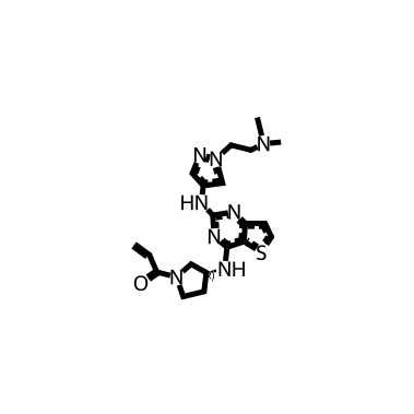 C=CC(=O)N1CC[C@@H](Nc2nc(Nc3cnn(CCN(C)C)c3)nc3ccsc23)C1